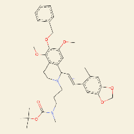 COc1cc2c(c(OC)c1OCc1ccccc1)CCN(CCCN(C)C(=O)OC(C)(C)C)C2/C=C/c1cc2c(cc1C)OCO2